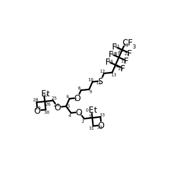 CCC1(COCC(COCCCSCCC(F)(F)C(F)(F)C(F)(F)C(F)(F)F)OCC2(CC)COC2)COC1